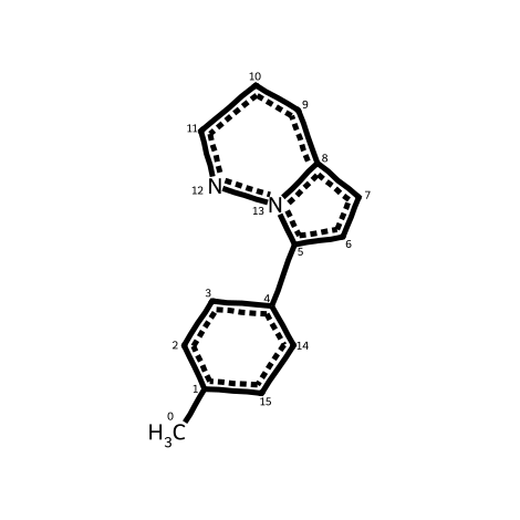 Cc1ccc(-c2ccc3cccnn23)cc1